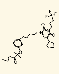 CCOC(=O)C(C)(C)Oc1cccc(CCCCCn2nc(C3CCCC3)c(=O)n(CCCC(F)(F)F)c2=O)c1